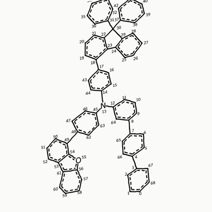 c1ccc(-c2ccc(-c3cccc(N(c4ccc(-c5cccc6c5-c5ccccc5C6(c5ccccc5)c5ccccc5)cc4)c4ccc(-c5cccc6c5oc5ccccc56)cc4)c3)cc2)cc1